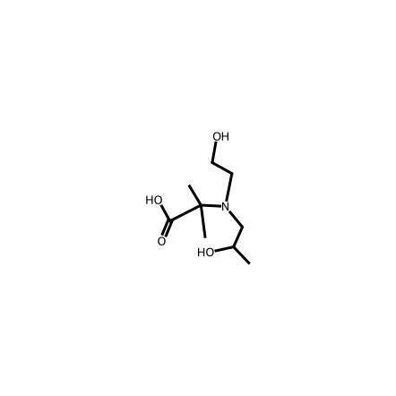 CC(O)CN(CCO)C(C)(C)C(=O)O